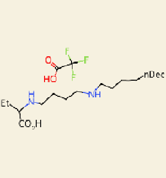 CCCCCCCCCCCCCCNCCCCNC(CC)C(=O)O.O=C(O)C(F)(F)F